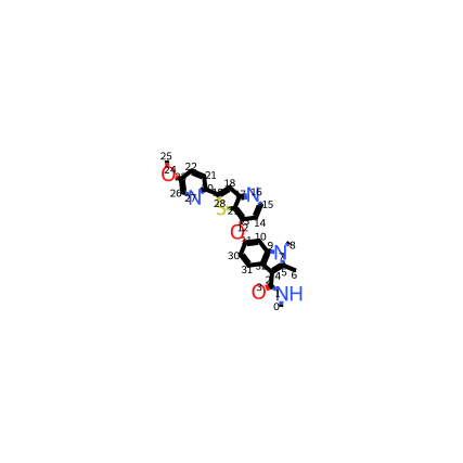 CNC(=O)c1c(C)n(C)c2cc(Oc3ccnc4cc(-c5ccc(OC)cn5)sc34)ccc12